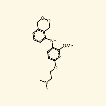 COc1cc(OCCN(C)C)ccc1Nc1cccc2c1COOC2